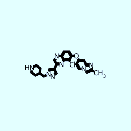 Cc1cn2ccc(Oc3ccc4ncc(-c5cnn(CC6CCNCC6)c5)nc4c3Cl)cc2n1